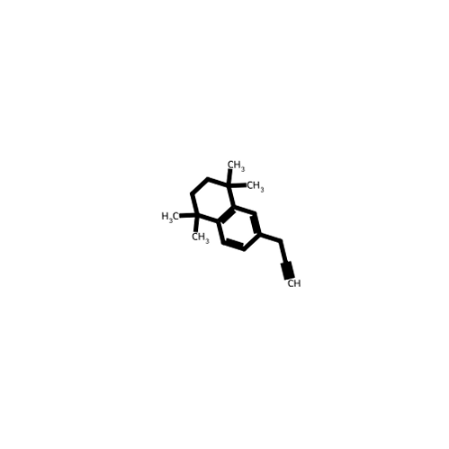 C#CCc1ccc2c(c1)C(C)(C)CCC2(C)C